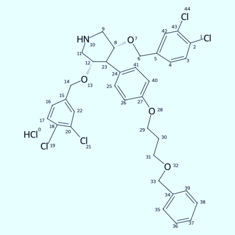 Cl.Clc1ccc(CO[C@H]2CNC[C@@H](OCc3ccc(Cl)c(Cl)c3)C2c2ccc(OCCCOCc3ccccc3)cc2)cc1Cl